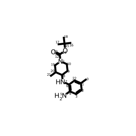 Cc1ccc(N)c(NC2CCN(C(=O)OC(C)(C)C)CC2C)c1